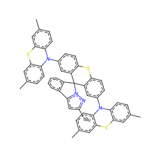 Cc1ccc2c(c1)Sc1cc(C)ccc1N2c1ccc2c(c1)C1(c3cc(N4c5ccc(C)cc5Sc5cc(C)ccc54)ccc3S2)c2ccccc2-c2cc(C(C)(C)C)nn21